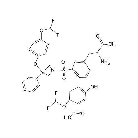 NC(Cc1cccc(S(=O)(=O)N2CC(Oc3ccc(OC(F)F)cc3)(c3ccccc3)C2)c1)C(=O)O.O=CO.Oc1ccc(OC(F)F)cc1